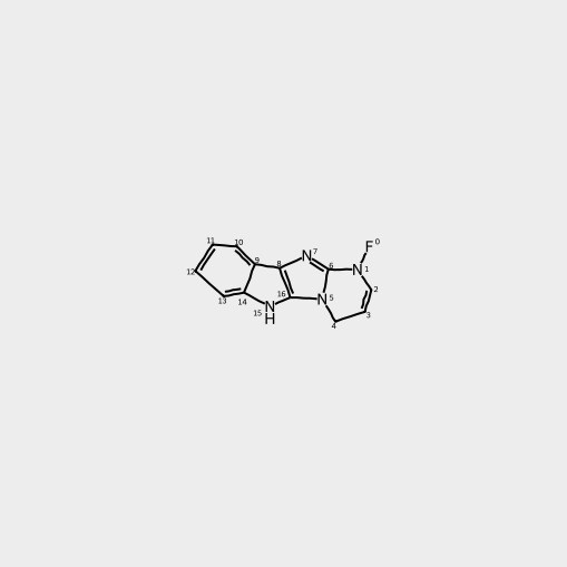 FN1C=CCn2c1nc1c3ccccc3[nH]c12